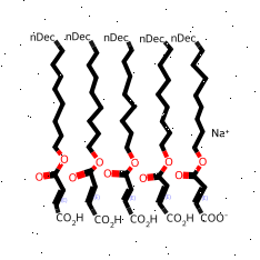 CCCCCCCCCCCCCCCCCCOC(=O)/C=C/C(=O)O.CCCCCCCCCCCCCCCCCCOC(=O)/C=C/C(=O)O.CCCCCCCCCCCCCCCCCCOC(=O)/C=C/C(=O)O.CCCCCCCCCCCCCCCCCCOC(=O)/C=C/C(=O)O.CCCCCCCCCCCCCCCCCCOC(=O)/C=C/C(=O)[O-].[Na+]